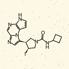 O=C(NC1CCC1)N1C[C@@H](I)[C@@H](c2cnc3cnc4[nH]ccc4n23)C1